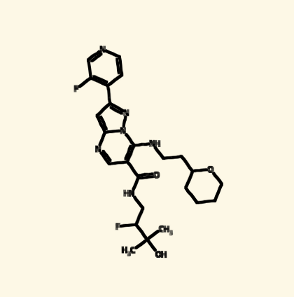 CC(C)(O)C(F)CNC(=O)c1cnc2cc(-c3ccncc3F)nn2c1NCCC1CCCCO1